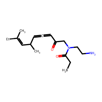 BCC(=O)N(CCN)CC(=O)C=C=CC(C)/C=C(\C)CC